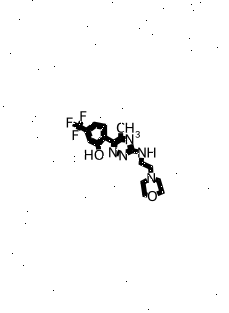 Cc1nc(NCCN2CCOCC2)nnc1-c1ccc(C(F)(F)F)cc1O